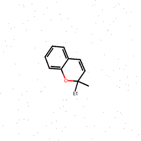 CCC1(C)C=Cc2ccccc2O1